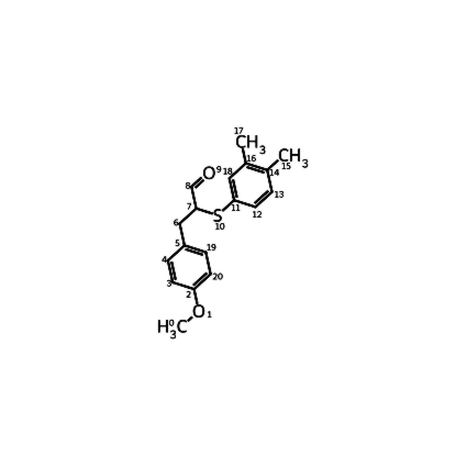 COc1ccc(CC(C=O)Sc2ccc(C)c(C)c2)cc1